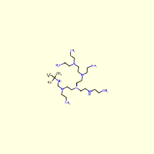 CC(C)(C)NCN(CCN)CCN(CCNCCN)CCN(CCN)CCN(CCN)CCN